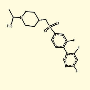 CC(O)N1CCC(CS(=O)(=O)c2ccc(-c3ncc(F)cc3F)c(F)c2)CC1